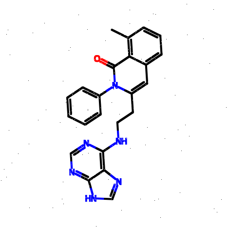 Cc1cccc2cc(CCNc3ncnc4[nH]cnc34)n(-c3ccccc3)c(=O)c12